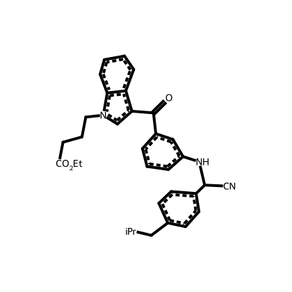 CCOC(=O)CCCn1cc(C(=O)c2cccc(NC(C#N)c3ccc(CC(C)C)cc3)c2)c2ccccc21